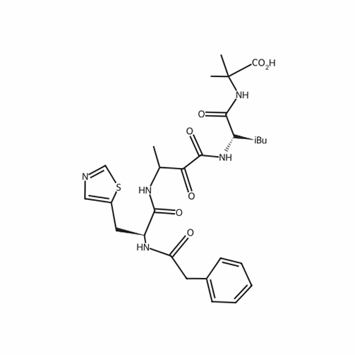 CC[C@H](C)[C@H](NC(=O)C(=O)C(C)NC(=O)[C@H](Cc1cncs1)NC(=O)Cc1ccccc1)C(=O)NC(C)(C)C(=O)O